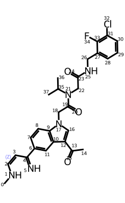 CN/C=C\C(=N)c1ccc2c(c1)c(C(C)=O)cn2CC(=O)N(CC(=O)NCc1cccc(Cl)c1F)C(C)C